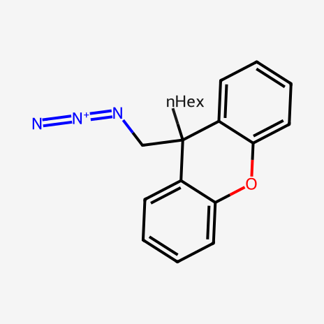 CCCCCCC1(CN=[N+]=[N-])c2ccccc2Oc2ccccc21